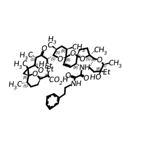 CCC(C(=O)[C@@H](C)[C@@H](O)C1(C)C[C@]12O[C@@H]([C@@H](CC)C(=O)O)CC[C@@H]2C)[C@H]1O[C@]2(C=C[C@@H](NC(=O)C(=O)NCCc3ccccc3)[C@]3(CC[C@@](C)([C@H]4CC[C@](O)(CC)[C@H](C)O4)O3)O2)[C@H](C)C[C@@H]1C